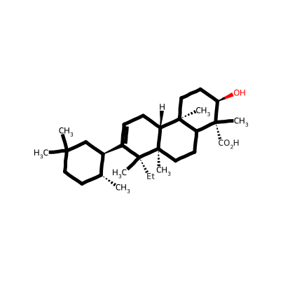 CC[C@]1(C)C([C@@H]2CC(C)(C)CC[C@H]2C)=CC[C@@H]2[C@@]3(C)CC[C@@H](O)[C@](C)(C(=O)O)C3CC[C@]21C